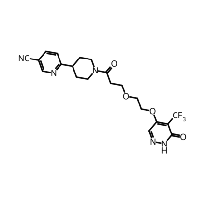 N#Cc1ccc(C2CCN(C(=O)CCOCCOc3cn[nH]c(=O)c3C(F)(F)F)CC2)nc1